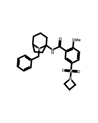 COc1ccc(S(=O)(=O)N2CCC2)cc1C(=O)NC12CCCC(CC1)N2Cc1ccccc1